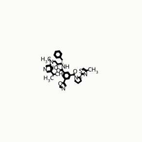 Cc1csc([C@H]2CCCN2C(=O)c2cc(C(=O)N[C@@H](Cc3ccccc3)[C@H](O)CN(C)c3cncc(C(C)C)c3)cc(-c3cnco3)c2)n1